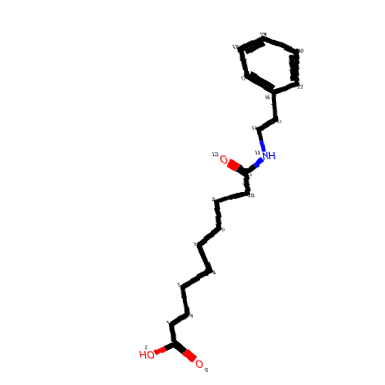 O=C(O)CCCCCCCCC(=O)NCCc1ccccc1